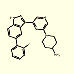 NC1CCN(c2cncc(-c3n[nH]c4ccc(-c5ccccc5F)cc34)n2)CC1